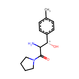 Cc1ccc([C@H](O)C(N)C(=O)N2CCCC2)cc1